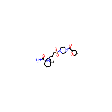 NC(=O)[C@]12C[CH]C[C@H](CC1)N2CCCS(=O)(=O)N1CCN(C(=O)C2CCCO2)CC1